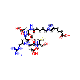 N=C(N)NCCC[C@H](NC(=O)[C@H](CC(=O)O)NC(=O)CCCCn1cc(CCCC(=O)O)nn1)C(=O)N[C@@H](CC(=O)O)C(=O)N[C@H](CO)CS